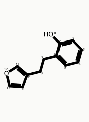 Oc1ccccc1CCc1ccoc1